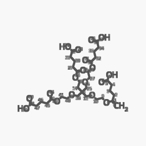 C=C(CCCC(=O)O)OCCOCC(CCOC(=O)CCCC(=O)O)(COCCOC(=O)CCCC(=O)O)COCCOC(=O)CCCC(=O)O